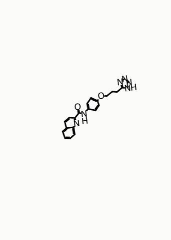 O=C(Nc1ccc(OCCCc2nnn[nH]2)cc1)c1ccc2ccccc2n1